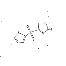 O=S(=O)(c1cc[nH]n1)c1cccs1